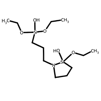 CCO[Si](O)(CCCN1CCC[Si]1(O)OCC)OCC